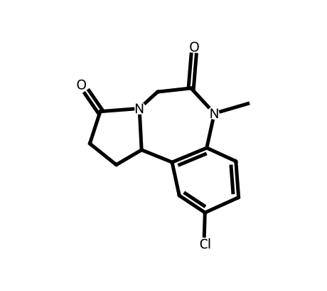 CN1C(=O)CN2C(=O)CCC2c2cc(Cl)ccc21